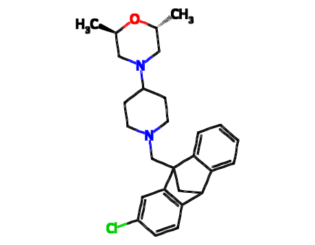 C[C@@H]1CN(C2CCN(CC34CC(c5ccccc53)c3ccc(Cl)cc34)CC2)C[C@@H](C)O1